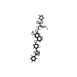 COc1cc2c(Oc3ccc(-c4noc(-c5ccccc5)n4)cc3)ccnc2cc1OCCC(N)C(=O)OC1CCCC1